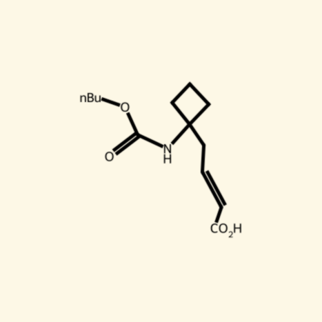 CCCCOC(=O)NC1(CC=CC(=O)O)CCC1